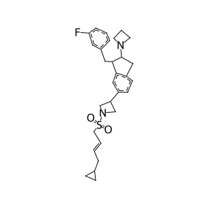 O=S(=O)(CC=CCC1CC1)N1CC(c2ccc3c(c2)C(Cc2cccc(F)c2)C(N2CCC2)C3)C1